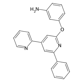 Nc1cccc(Oc2cc(-c3ccccn3)cc(-c3ccccc3)n2)c1